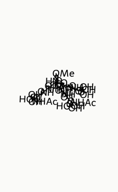 COc1ccc(C(=O)NC(COCCC(=O)NCCCNC(=O)CCCCOC2OC(CO)C(O)C(O)C2NC(C)=O)(COCCC(=O)NCCCNC(=O)CCCCOC2OC(CO)C(O)C(O)C2NC(C)=O)COCCC(=O)NCCCNC(=O)CCCCOC2OC(CO)C(O)C(O)C2NC(C)=O)cc1